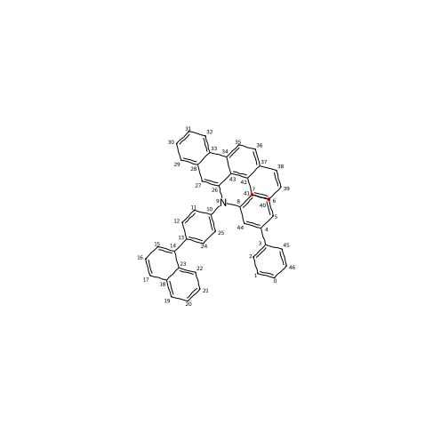 c1ccc(-c2cccc(N(c3ccc(-c4cccc5ccccc45)cc3)c3cc4ccccc4c4ccc5ccccc5c34)c2)cc1